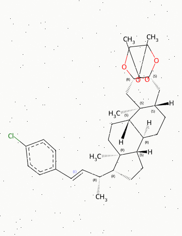 C[C@H](/C=C/c1ccc(Cl)cc1)[C@H]1CC[C@H]2[C@@H]3CC[C@H]4C[C@@]56OCCO[C@]5(C[C@]4(C)[C@H]3CC[C@]12C)OC(C)(C)O6